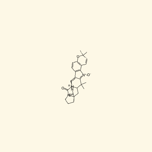 CC1(C)C=Cc2c(ccc3c2[N+]([O-])=C2C3=C[C@@]34NC(=O)C5(CCCN5C3=O)CC4C2(C)C)O1